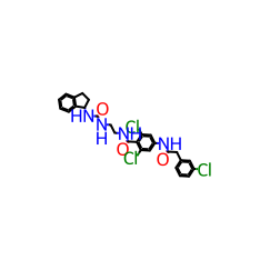 O=C(Cc1cccc(Cl)c1)Nc1cc(Cl)c(C(=O)NCCNC(=O)N[C@@H]2CCc3ccccc32)c(Cl)c1